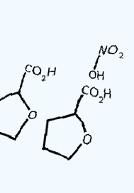 O=C(O)C1CCCO1.O=C(O)C1CCCO1.O=[N+]([O-])O